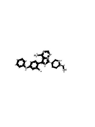 Nc1ncnn2c([C@H]3CC[C@H](CO)OC3)nc(-c3ccc(Oc4ccccc4)cc3F)c12